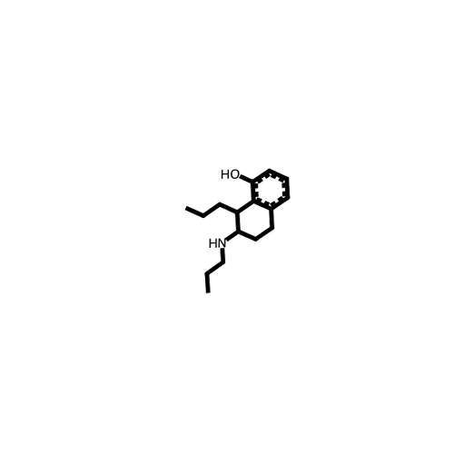 CCCNC1CCc2cccc(O)c2C1CCC